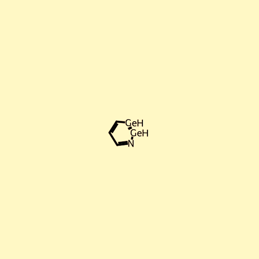 C1=[CH][GeH]=[GeH][N]=C1